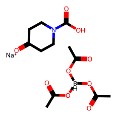 CC(=O)O[BH-](OC(C)=O)OC(C)=O.O=C1CCN(C(=O)O)CC1.[Na+]